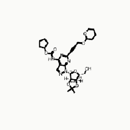 CC1(C)O[C@@H]2[C@H](O1)[C@@H](CO)O[C@H]2n1ncc2c(NC(=O)OC3CCCC3)nc(C#CCOC3CCCCO3)nc21